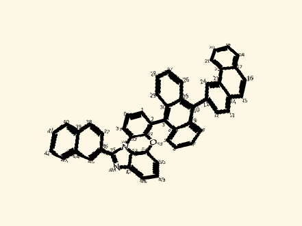 c1cc(-c2c3ccccc3c(-c3ccc4ccc5ccccc5c4c3)c3ccccc23)c2c(c1)-n1c(-c3ccc4ccccc4c3)nc3cccc(c31)O2